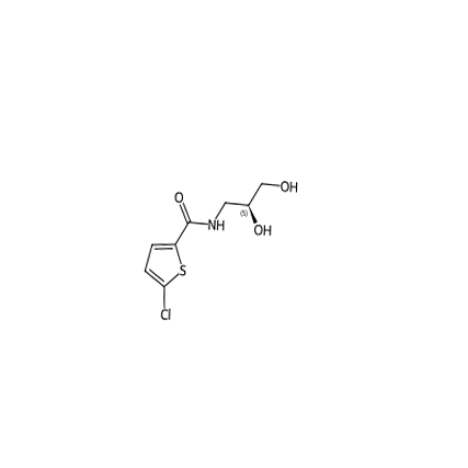 O=C(NC[C@H](O)CO)c1ccc(Cl)s1